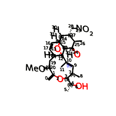 C=C1O[C@H]([C@@H](C)O)[C@H](C)/C=C(\C)[C@]23O[C@@H]4[C@H](C=C[C@@H]2C[C@@H]1OC)[C@H]3C(=O)C(C)[C@H]4C[N+](=O)[O-]